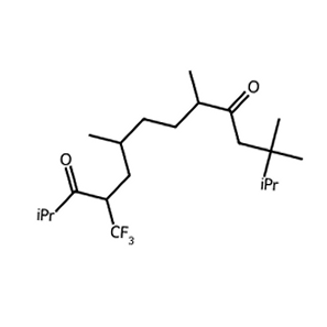 CC(CCC(C)C(=O)CC(C)(C)C(C)C)CC(C(=O)C(C)C)C(F)(F)F